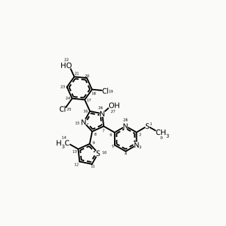 CSc1nccc(-c2c(-c3sccc3C)nc(-c3c(Cl)cc(O)cc3Cl)n2O)n1